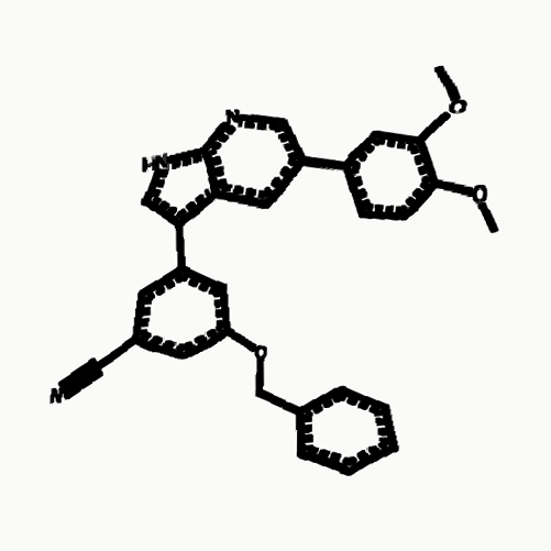 COc1ccc(-c2cnc3[nH]cc(-c4cc(C#N)cc(OCc5ccccc5)c4)c3c2)cc1OC